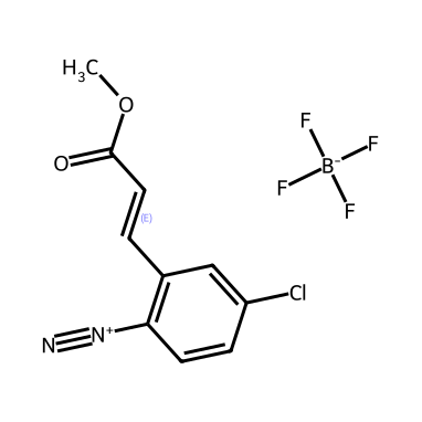 COC(=O)/C=C/c1cc(Cl)ccc1[N+]#N.F[B-](F)(F)F